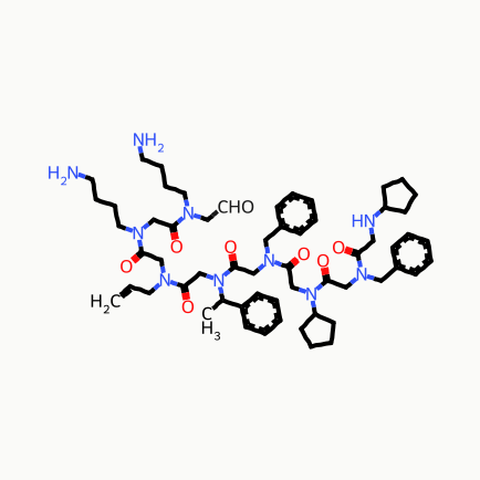 C=CCN(CC(=O)N(CCCCN)CC(=O)N(CC=O)CCCCN)C(=O)CN(C(=O)CN(Cc1ccccc1)C(=O)CN(C(=O)CN(Cc1ccccc1)C(=O)CNC1CCCC1)C1CCCC1)C(C)c1ccccc1